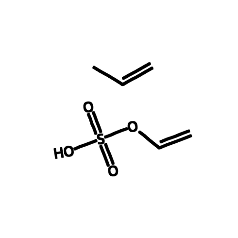 C=CC.C=COS(=O)(=O)O